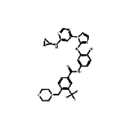 O=C(Nc1ccc(Cl)c(Nc2nccn2-c2cc(NC3CC3)ncn2)c1)c1ccc(CN2CCOCC2)c(C(F)(F)F)c1